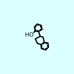 Oc1ccc[c]c1C1CCc2ccccc2C1